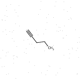 [C]#CC[CH]C